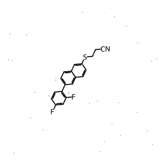 N#CCCSc1ccc2cc(-c3ccc(F)cc3F)ccc2c1